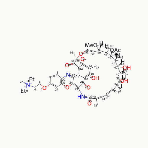 CC[N+](C)(CC)CCOc1ccc2nc3c4c5c6c(C)c(O)c4c(=O)c(c-3oc2c1)NC(=O)/C(C)=C\C=C\[C@H](C)[C@H](O)[C@@H](C)[C@@H](O)[C@@H](C)[C@H](OC(C)=O)[C@H](C)[C@@H](OC)/C=C/O[C@@](C)(O6)C5=O